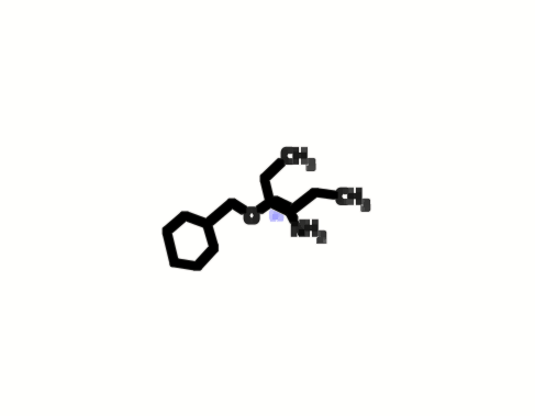 CC/C(N)=C(\CC)OCC1CCCCC1